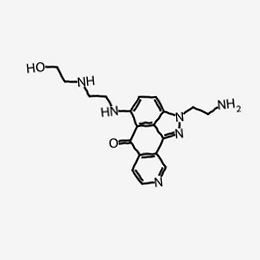 NCCn1nc2c3c(c(NCCNCCO)ccc31)C(=O)c1ccncc1-2